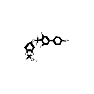 CCCC1CC=C(c2cc(F)c(C(F)(F)Oc3ccc4c(c3)OC(C)(F)O4)c(F)c2)CC1